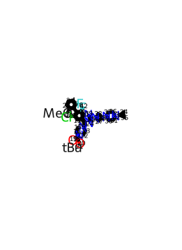 COc1cccc(F)c1-c1c(Cl)cc2c(N3CCN(C(=O)OC(C)(C)C)CC3)nc(N3CC(N4CCN(C5CC5)CC4)C3)nc2c1F